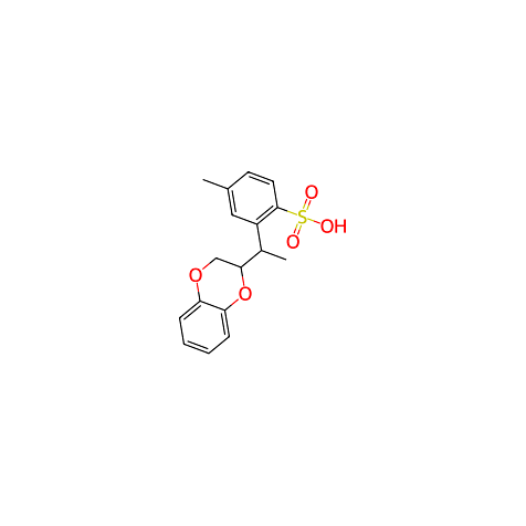 Cc1ccc(S(=O)(=O)O)c(C(C)C2COc3ccccc3O2)c1